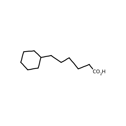 O=C(O)CCCCCC1CCCCC1